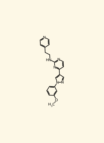 COc1cccc(-n2cc(-c3ccnc(NCCc4ccncc4)n3)cn2)c1